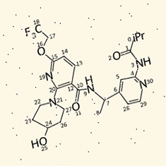 CC(C)C(=O)Nc1cc(C(C)NC(=O)c2ccc(OCC(F)(F)F)nc2N2CCC(O)CC2)ccn1